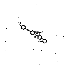 [2H]Cc1ccc(C#Cc2ccc(S(=O)(=O)N[C@H](Cc3c[nH]c4ccccc34)C(=O)O)cc2)cc1